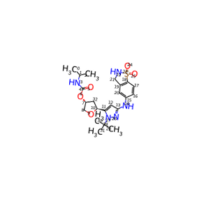 CC(C)NC(=O)O[C@@H]1CO[C@H](c2cc(Nc3ccc4c(c3)CNS4(=O)=O)nn2C(C)(C)C)C1